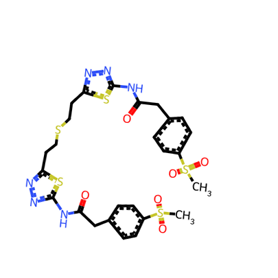 CS(=O)(=O)c1ccc(CC(=O)Nc2nnc(CCSCCc3nnc(NC(=O)Cc4ccc(S(C)(=O)=O)cc4)s3)s2)cc1